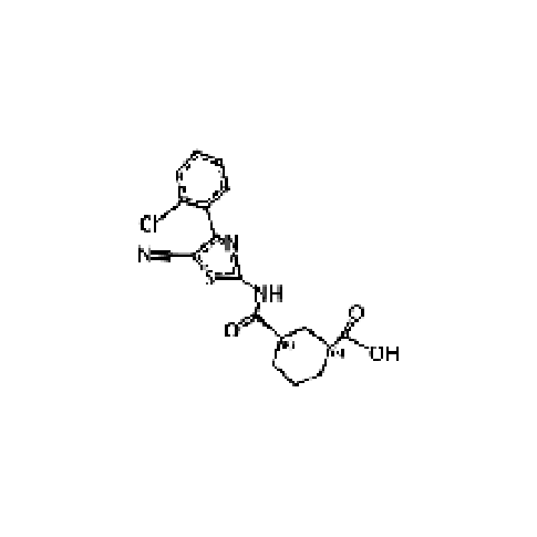 N#Cc1sc(NC(=O)[C@@H]2CCC[C@H](C(=O)O)C2)nc1-c1ccccc1Cl